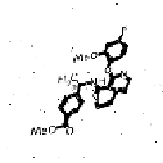 COC(=O)c1ccc([C@H](C)Nc2nccc3ccnc(Oc4ccc(F)cc4OC)c23)cc1